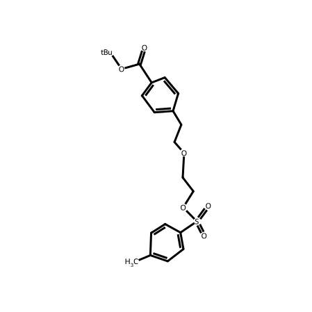 Cc1ccc(S(=O)(=O)OCCOCCc2ccc(C(=O)OC(C)(C)C)cc2)cc1